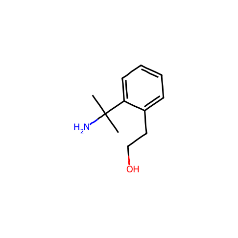 CC(C)(N)c1ccccc1CCO